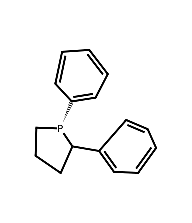 c1ccc(C2CCC[P@]2c2ccccc2)cc1